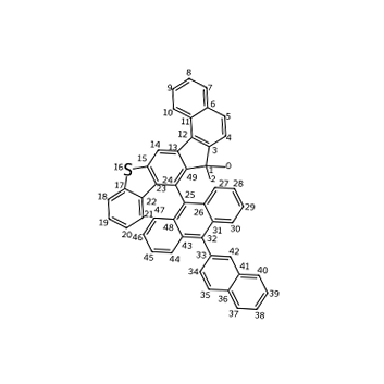 CC1(C)c2ccc3ccccc3c2-c2cc3sc4ccccc4c3c(-c3c4ccccc4c(-c4ccc5ccccc5c4)c4ccccc34)c21